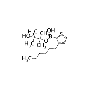 CCCCCCc1ccsc1B(O)OC(C)(C)C(C)(C)O